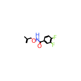 C=C(C)CONC(=O)c1ccc(F)c(F)c1